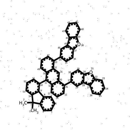 CC1(C)c2ccccc2-c2c(-c3c4cccc(-c5ccc6oc7ccccc7c6c5)c4cc4c(-c5ccc6oc7ccccc7c6c5)cccc34)cccc21